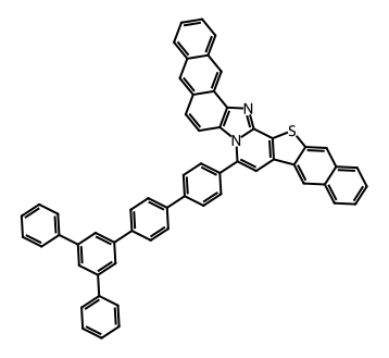 c1ccc(-c2cc(-c3ccccc3)cc(-c3ccc(-c4ccc(-c5cc6c7cc8ccccc8cc7sc6c6nc7c8cc9ccccc9cc8ccc7n56)cc4)cc3)c2)cc1